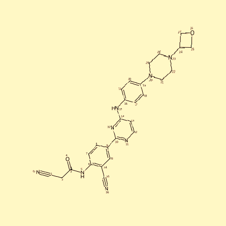 N#CCC(=O)Nc1ccc(-c2nccc(Nc3ccc(N4CCN(C5COC5)CC4)cc3)n2)cc1C#N